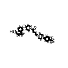 ON(O)c1ccc(OC2CCN(C(=S)CCCN3CCN(c4ccc(C(F)(F)F)cc4)CC3)CC2)cc1C(F)(F)F